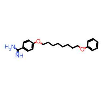 N=C(N)c1ccc(OCCCCCCCCOc2ccccc2)cc1